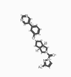 CC(=O)c1ccn(C(=O)N2C[C@H]3C[C@H](Oc4cccc(-c5cncnc5)c4)C[C@H]3C2)n1